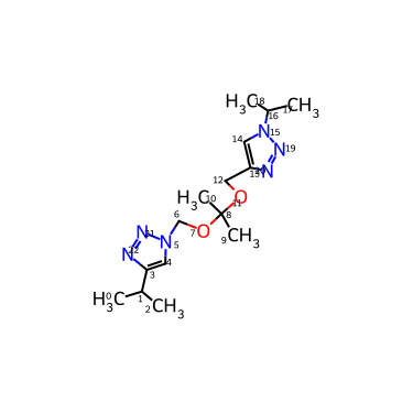 CC(C)c1cn(COC(C)(C)OCc2cn(C(C)C)nn2)nn1